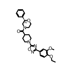 CCOc1ccc(-c2noc(N3CCC(C(=O)N4CCO[C@H](c5ccccc5)C4)CC3)n2)cc1OC